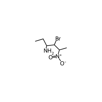 CCC(N)C(Br)C(C)[N+](=O)[O-]